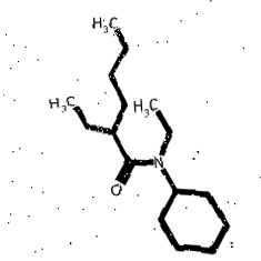 CCCCC(CC)C(=O)N(CC)C1CCCCC1